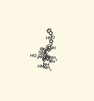 CC[C@H](C)[C@H](NC(=O)[C@@H](CCCNC(=N)N)NC(=O)C(CC(=O)O)NC(=O)[C@H]([C@@H](C)CC)N1CC[C@@H](NC(=O)Cc2ccc(NC(=O)c3ccc4ncccc4c3)cc2)C1=O)C(N)=O